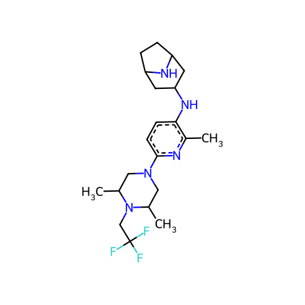 Cc1nc(N2CC(C)N(CC(F)(F)F)C(C)C2)ccc1NC1CC2CCC(C1)N2